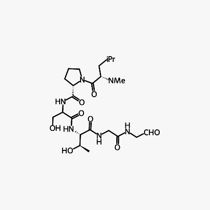 CN[C@@H](CC(C)C)C(=O)N1CCC[C@H]1C(=O)NC(CO)C(=O)N[C@H](C(=O)NCC(=O)NCC=O)[C@@H](C)O